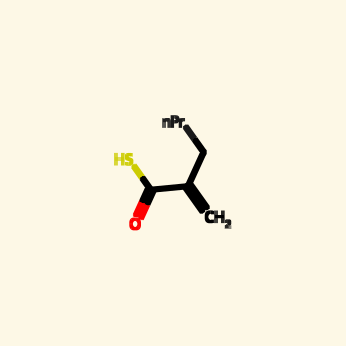 C=C(CCCC)C(=O)S